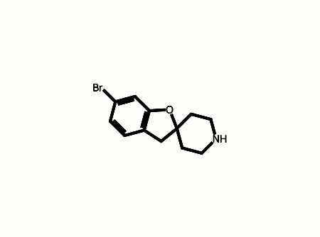 Brc1ccc2c(c1)OC1(CCNCC1)C2